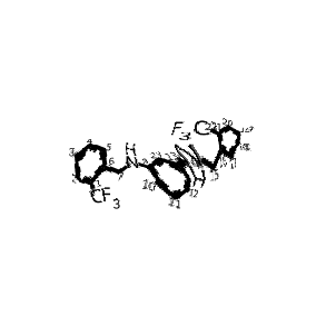 FC(F)(F)c1ccccc1CNc1cccc(NCc2ccccc2C(F)(F)F)c1